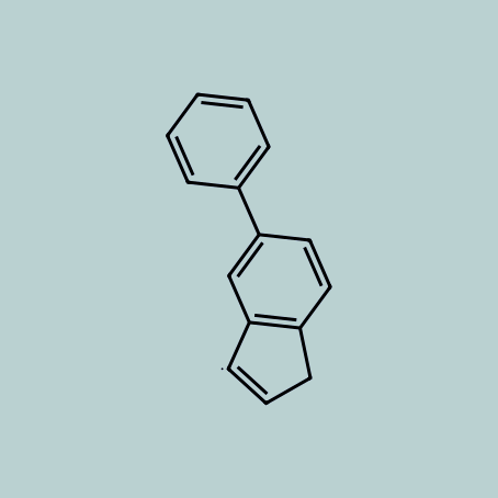 [C]1=CCc2ccc(-c3ccccc3)cc21